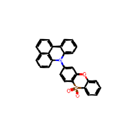 O=S1(=O)c2ccccc2Oc2cc(N3c4ccccc4-c4cccc5cccc3c45)ccc21